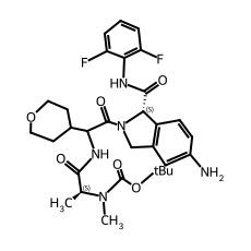 C[C@@H](C(=O)NC(C(=O)N1Cc2cc(N)ccc2[C@H]1C(=O)Nc1c(F)cccc1F)C1CCOCC1)N(C)C(=O)OC(C)(C)C